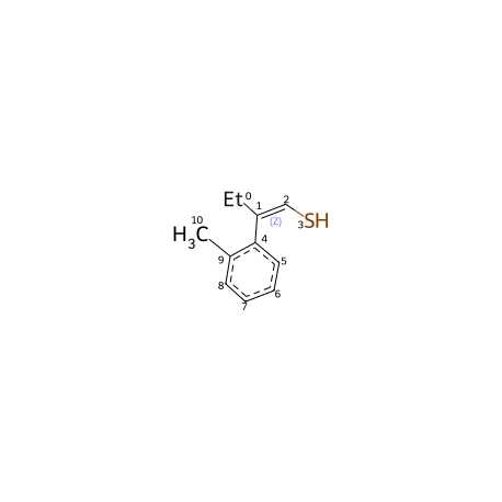 CC/C(=C/S)c1ccccc1C